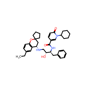 CCc1ccc2c(c1)[C@@H](NC[C@@H](O)[C@H](Cc1ccccc1)NC(=O)c1ccc(=O)n(C3CCCCC3)c1)CC1(CCCC1)O2